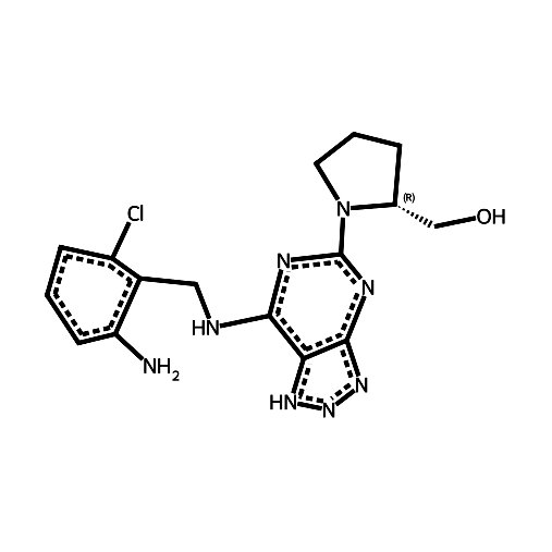 Nc1cccc(Cl)c1CNc1nc(N2CCC[C@@H]2CO)nc2nn[nH]c12